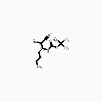 CCCC[C@H](NC(=O)OC(C)(C)C)C(O)C#N